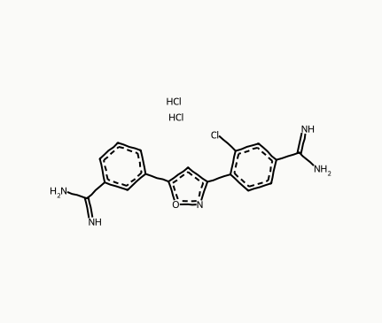 Cl.Cl.N=C(N)c1cccc(-c2cc(-c3ccc(C(=N)N)cc3Cl)no2)c1